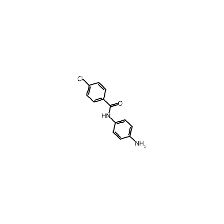 Nc1ccc(NC(=O)c2ccc(Cl)cc2)cc1